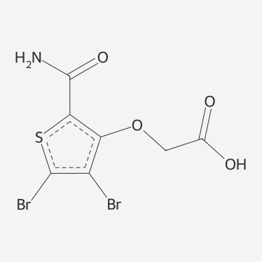 NC(=O)c1sc(Br)c(Br)c1OCC(=O)O